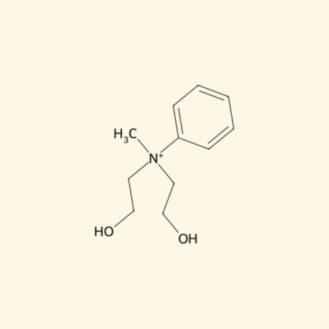 C[N+](CCO)(CCO)c1ccccc1